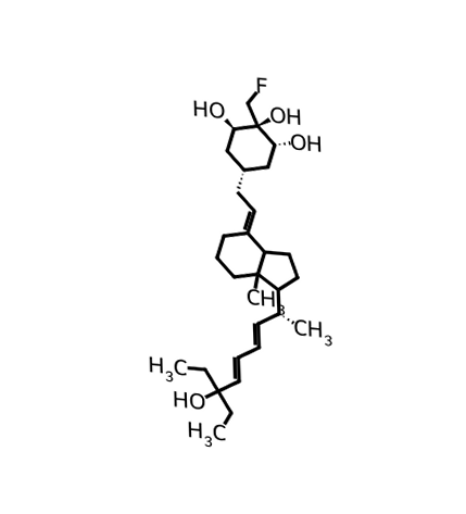 CCC(O)(/C=C/C=C/[C@@H](C)C1CCC2/C(=C/C[C@H]3C[C@@H](O)[C@@](O)(CF)[C@H](O)C3)CCCC21C)CC